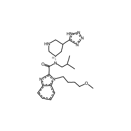 COCCCCn1c(C(=O)N(CC(C)C)[C@@H]2CNCC(c3nnn[nH]3)C2)nc2ccccc21